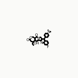 CC[C@@]1(O)CC(=O)OCc2c1cc1n(c2=O)Cc2c-1nc1cc(F)ccc1c2-c1ccc(N(C)C)cc1